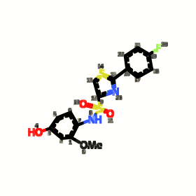 COc1cc(O)ccc1NS(=O)(=O)c1csc(-c2ccc(F)cc2)n1